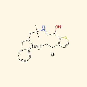 CCC(CC(=O)O)c1ccsc1C(O)CNC(C)(C)CC1Cc2ccccc2C1